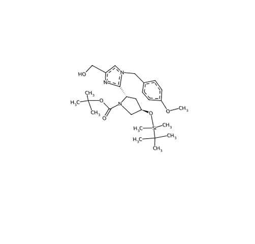 COc1ccc(Cn2cc(CO)nc2[C@@H]2C[C@@H](O[Si](C)(C)C(C)(C)C)CN2C(=O)OC(C)(C)C)cc1